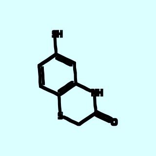 O=C1CSc2ccc(S)cc2N1